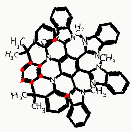 Cn1c(-c2c(-c3nc4ccccc4n3C)c(-c3nc4ccccc4n3C)c(N3c4ccccc4C(C)(C)c4ccccc43)c(N3c4ccccc4C(C)(C)c4ccccc43)c2-c2nc3ccccc3n2C)nc2ccccc21